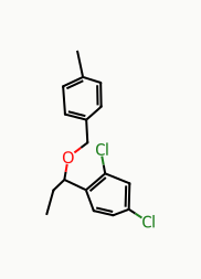 CCC(OCc1ccc(C)cc1)c1ccc(Cl)cc1Cl